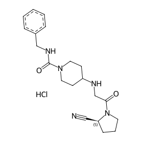 Cl.N#C[C@@H]1CCCN1C(=O)CNC1CCN(C(=O)NCc2ccccc2)CC1